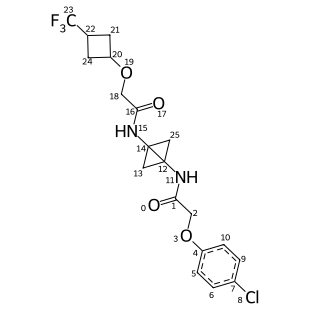 O=C(COc1ccc(Cl)cc1)NC12CC1(NC(=O)COC1CC(C(F)(F)F)C1)C2